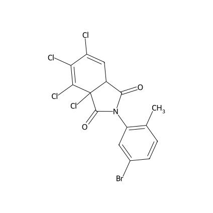 Cc1ccc(Br)cc1N1C(=O)C2C=C(Cl)C(Cl)=C(Cl)C2(Cl)C1=O